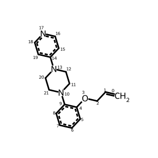 C=CCOc1ccccc1N1CCN(c2ccncc2)CC1